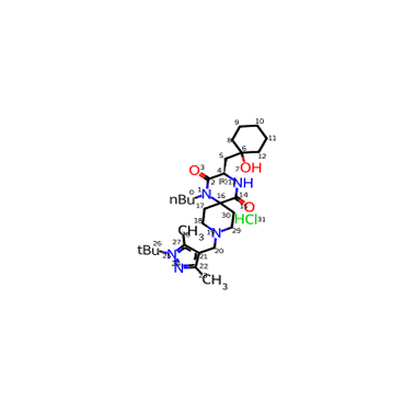 CCCCN1C(=O)[C@@H](CC2(O)CCCCC2)NC(=O)C12CCN(Cc1c(C)nn(C(C)(C)C)c1C)CC2.Cl